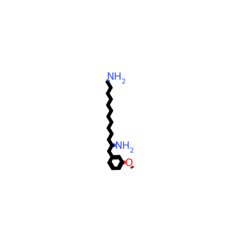 COc1cccc(CC(N)CCCCCCCCCCCN)c1